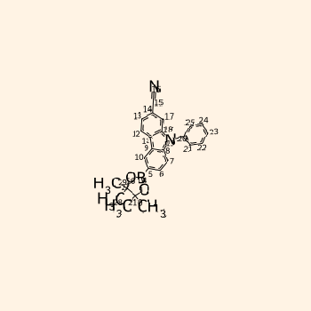 CC1(C)OB(c2ccc3c(c2)c2ccc(C#N)cc2n3-c2ccccc2)OC1(C)C